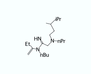 C=C(CC)N(CCCC)C(=N)CN(CCC)CCC(C)C(C)C